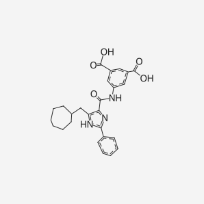 O=C(O)c1cc(NC(=O)c2nc(-c3ccccc3)[nH]c2CC2CCCCCC2)cc(C(=O)O)c1